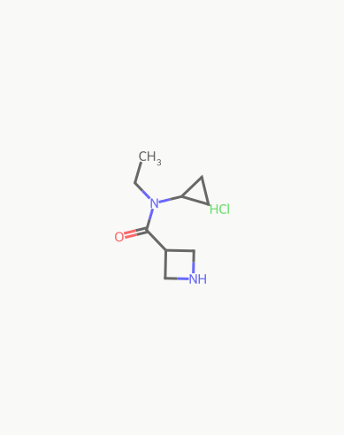 CCN(C(=O)C1CNC1)C1CC1.Cl